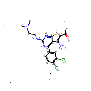 CC(=O)c1sc2nc(NCCN(C)C)nc(-c3ccc(Cl)c(Cl)c3)c2c1N